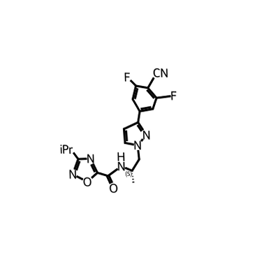 CC(C)c1noc(C(=O)N[C@@H](C)Cn2ccc(-c3cc(F)c(C#N)c(F)c3)n2)n1